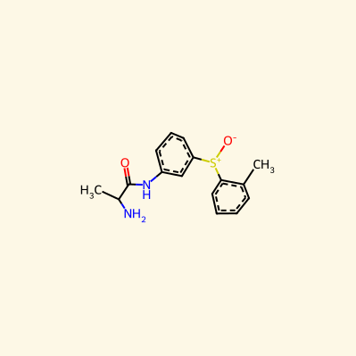 Cc1ccccc1[S+]([O-])c1cccc(NC(=O)C(C)N)c1